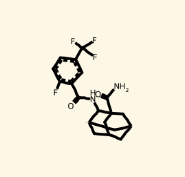 NC(=O)C12CC3C[C](CC(C3)C1)C2NC(=O)c1cc(C(F)(F)F)ccc1F